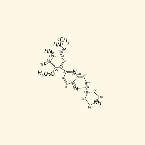 CN/C=C1/C=C(c2ccc3nc(C4CCNCC4)ccc3n2)C(OC)=C(F)C1=N